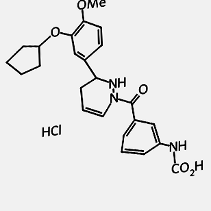 COc1ccc(C2CC=CN(C(=O)c3cccc(NC(=O)O)c3)N2)cc1OC1CCCC1.Cl